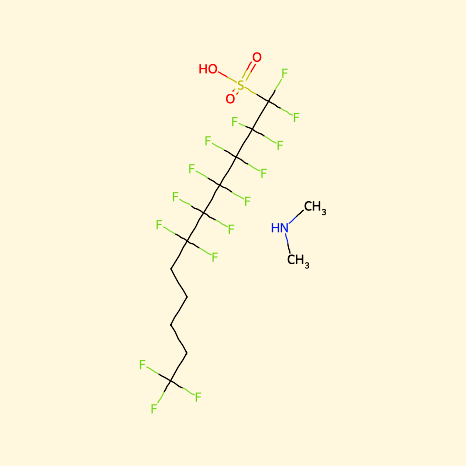 CNC.O=S(=O)(O)C(F)(F)C(F)(F)C(F)(F)C(F)(F)C(F)(F)C(F)(F)CCCCC(F)(F)F